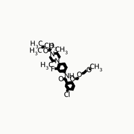 COCCOCOc1ccc(Cl)cc1C(=O)Nc1ccc(N2C[C@H](C)N(C(=O)OC(C)(C)C)C[C@H]2C)c(F)c1